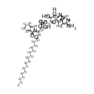 CCCCCCCCCCCCCCCCCCOC[C@H](COP(=O)(O)OC[C@H]1O[C@@](C#N)(c2ccc3c(N)ncnn23)[C@H](O)[C@@H]1O)N1Cc2ccccc2C1=O